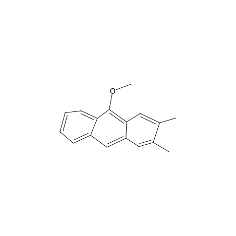 COc1c2ccccc2cc2cc(C)c(C)cc12